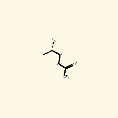 CC(C)[C@@H](C)CCC(=O)C(F)(F)F